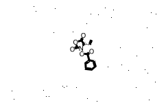 C=C[C@H]1C(=O)OC(=O)N1OC(=O)c1ccccc1